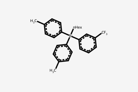 CCCCCC[B-](c1ccc(C)cc1)(c1ccc(C)cc1)c1cccc(C(F)(F)F)c1